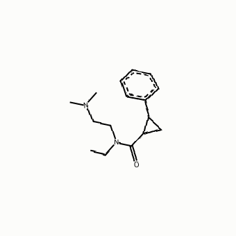 CCN(CCN(C)C)C(=O)C1CC1c1ccccc1